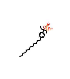 CCCCCCCCCCCCc1ccc(C(CC)(CC)O[PH](=O)O)cc1